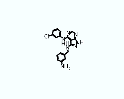 Nc1cccc(CNc2n[nH]c3ncnc(Nc4cccc(Cl)c4)c23)c1